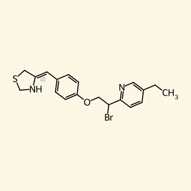 CCc1ccc(C(Br)COc2ccc(/C=C3/CSCN3)cc2)nc1